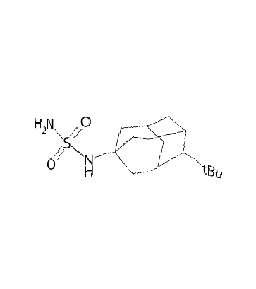 CC(C)(C)C1C2CC3CC1CC(NS(N)(=O)=O)(C3)C2